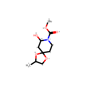 CC1COC2(CCN(C(=O)OC(C)(C)C)C(O)C2)O1